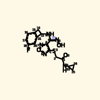 O=C(CSc1nonc1/C(=N\O)NC1Cc2ccc(F)cc21)NC1CC1